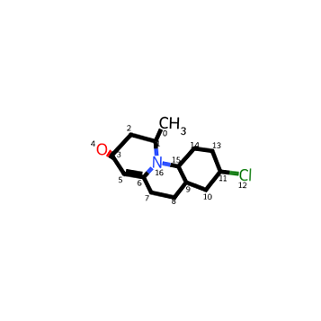 CC1CC(=O)C=C2CCC3CC(Cl)CCC3N21